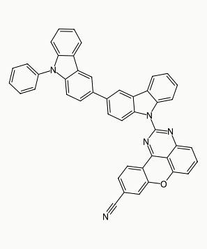 N#Cc1ccc2c(c1)Oc1cccc3nc(-n4c5ccccc5c5cc(-c6ccc7c(c6)c6ccccc6n7-c6ccccc6)ccc54)nc-2c13